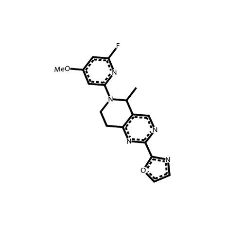 COc1cc(F)nc(N2CCc3nc(-c4ncco4)ncc3C2C)c1